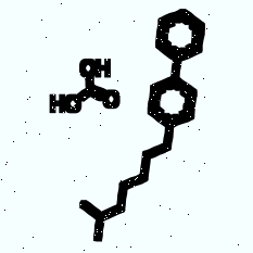 CC(C)CCCCCc1ccc(-c2ccccc2)cc1.O=C(O)O